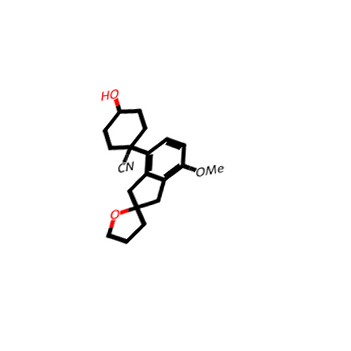 COc1ccc(C2(C#N)CCC(O)CC2)c2c1CC1(CCCO1)C2